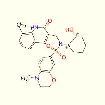 Cc1cccc2cc(CN([C@H]3CCCC[C@H]3O)S(=O)(=O)c3ccc4c(c3)OCCN4C)c(=O)[nH]c12